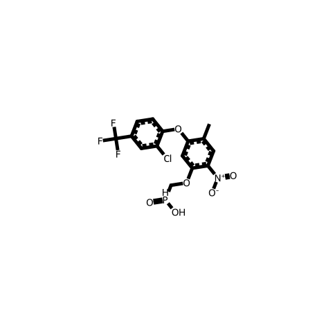 Cc1cc([N+](=O)[O-])c(OC[PH](=O)O)cc1Oc1ccc(C(F)(F)F)cc1Cl